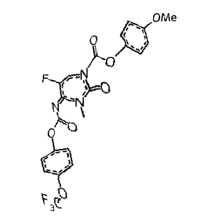 COc1ccc(OC(=O)n2cc(F)/c(=N/C(=O)Oc3ccc(OC(F)(F)F)cc3)n(C)c2=O)cc1